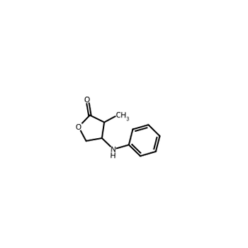 CC1C(=O)OCC1Nc1ccccc1